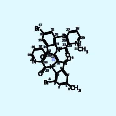 Cc1cc(Br)c2c(c1)C(=O)/C(=C1/C(=O)c3cc(Br)cc(Br)c3N1C(=O)c1cccc[n+]1C)N2C(=O)c1ccccn1